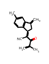 C=C(C)C(=O)/C(C#N)=C1\CC(=C)c2cc(C)ccc21